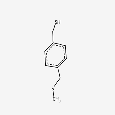 CSCc1ccc(CS)cc1